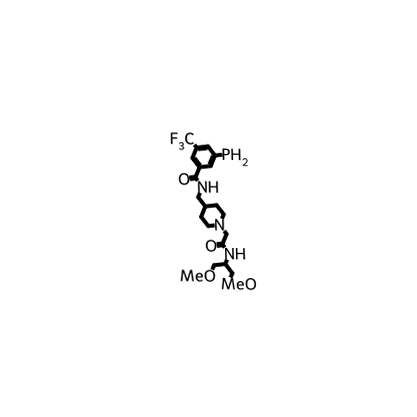 COCC(COC)NC(=O)CN1CCC(CNC(=O)c2cc(P)cc(C(F)(F)F)c2)CC1